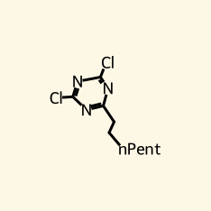 CCCCCCCc1nc(Cl)nc(Cl)n1